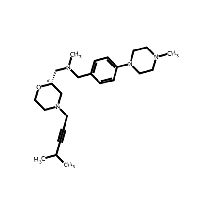 CC(C)C#CCN1CCO[C@H](CN(C)Cc2ccc(N3CCN(C)CC3)cc2)C1